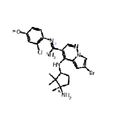 CC1(C)C(Nc2c(/C(N)=N/c3ccc(O)cc3Cl)cnn3cc(Br)cc23)CC[C@]1(C)N